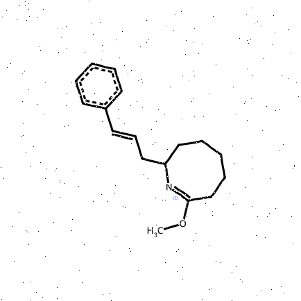 CO/C1=N/C(CC=Cc2ccccc2)CCCCC1